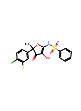 CC1(c2ccc(Cl)c(F)c2)OC(NS(=O)(=O)c2ccccc2)=C(O)C1=O